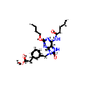 CCCCOc1nc(NC(=O)CCCC)c2[nH]c(=O)n(Cc3cccc(CC(=O)OC)c3)c2n1